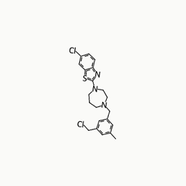 Cc1cc(CCl)cc(CN2CCCN(c3nc4ccc(Cl)cc4s3)CC2)c1